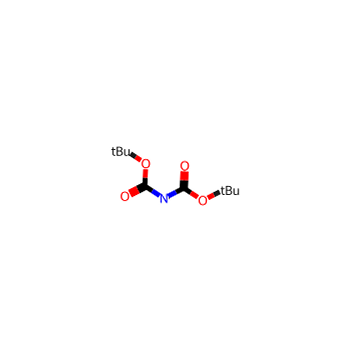 CC(C)(C)OC(=O)[N]C(=O)OC(C)(C)C